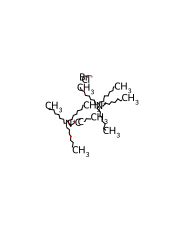 CCCCCCCC[N+](CCCCCCCC)(CCCCCCCC)CCCCCCCC.CCCCCCCC[N+](CCCCCCCC)(CCCCCCCC)CCCCCCCC.[Br-].[Cl-]